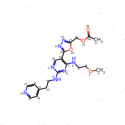 COCCNc1nc(NCCc2ccncc2)ncc1-c1nnc(COC(C)=O)o1